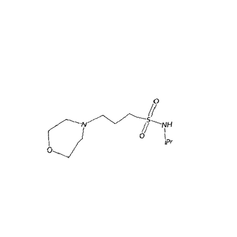 CC(C)NS(=O)(=O)CCCN1CCOCC1